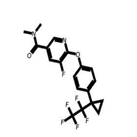 CN(C)C(=O)c1cnc(Oc2ccc(C3(C(F)(F)C(F)(F)F)CC3)cc2)c(F)c1